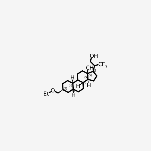 CCOC[C@H]1CC[C@@H]2C3CC[C@]4(C)C(C(CO)C(F)(F)F)CC[C@H]4[C@@H]3CC[C@@H]2C1